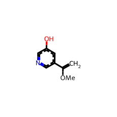 C=C(OC)c1cncc(O)c1